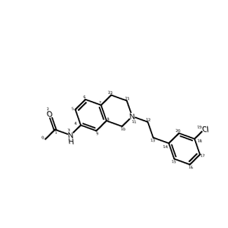 CC(=O)Nc1ccc2c(c1)CN(CCc1cccc(Cl)c1)CC2